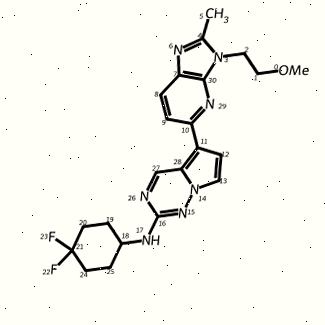 COCCn1c(C)nc2ccc(-c3ccn4nc(NC5CCC(F)(F)CC5)ncc34)nc21